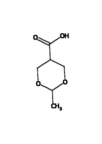 CC1OCC(C(=O)O)CO1